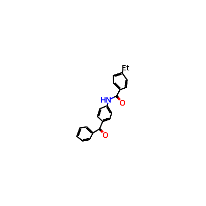 CCc1ccc(C(=O)Nc2ccc(C(=O)c3ccccc3)cc2)cc1